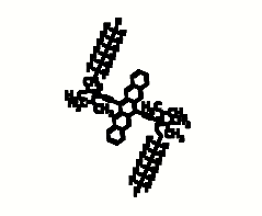 CC(C)[Si](C#Cc1c2cc3ccccc3cc2c(C#C[Si](CCC(F)(F)C(F)(F)C(F)(F)C(F)(F)C(F)(F)C(F)(F)F)(C(C)C)C(C)C)c2cc3ccccc3cc12)(CCC(F)(F)C(F)(F)C(F)(F)C(F)(F)C(F)(F)C(F)(F)F)C(C)C